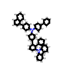 c1ccc(-c2ccc(N(c3ccc(-c4cccc(-n5c6ccccc6c6ccccc65)c4-c4ccccc4)cc3)c3ccc(-c4cccc5ccccc45)cc3)cc2)cc1